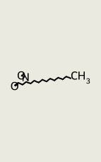 CCCCCCCCCCCCC(CC=O)N=O